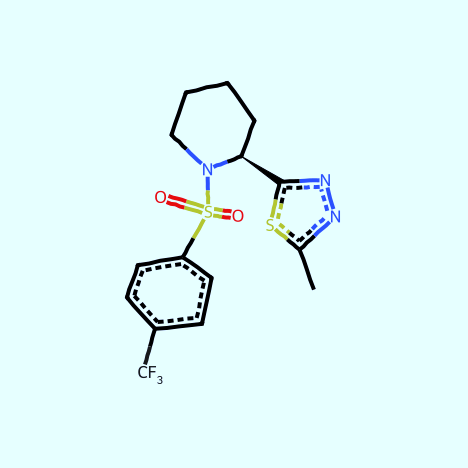 Cc1nnc([C@@H]2CCCCN2S(=O)(=O)c2ccc(C(F)(F)F)cc2)s1